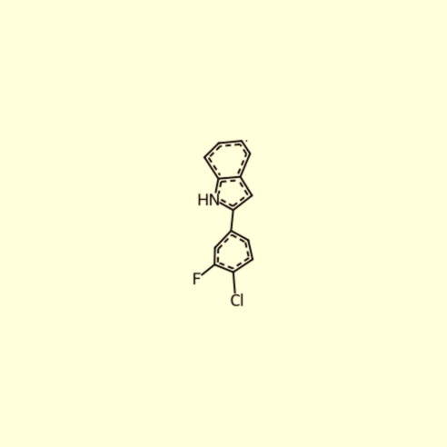 Fc1cc(-c2cc3c[c]ccc3[nH]2)ccc1Cl